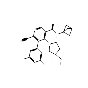 N#Cc1ncc(C(=O)NC23CC(C2)C3)c(N2CC[C@@](N)(CO)C2)c1-c1cc(F)cc(F)c1